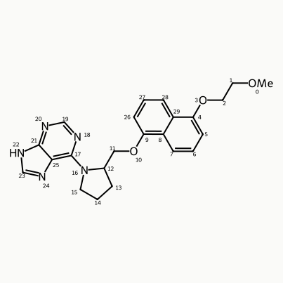 COCCOc1cccc2c(OCC3CCCN3c3ncnc4[nH]cnc34)cccc12